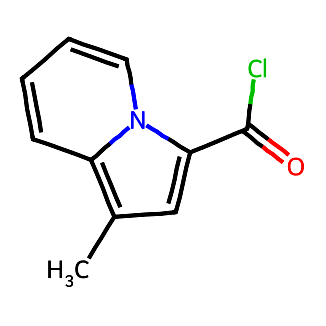 Cc1cc(C(=O)Cl)n2ccccc12